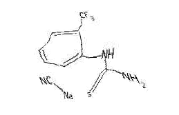 N#[C][Na].NC(=S)Nc1ccccc1C(F)(F)F